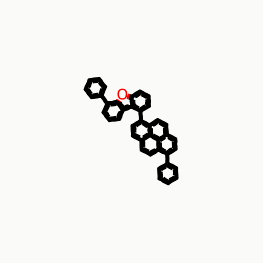 c1ccc(-c2ccc3ccc4c(-c5cccc6oc7c(-c8ccccc8)cccc7c56)ccc5ccc2c3c54)cc1